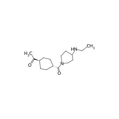 CCNC1CCN(C(=O)[C@H]2CC[C@H](C(C)=O)CC2)CC1